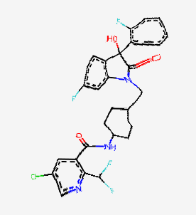 O=C(NC1CCC(CN2C(=O)C(O)(c3ccccc3F)c3ccc(F)cc32)CC1)c1cc(Cl)cnc1C(F)F